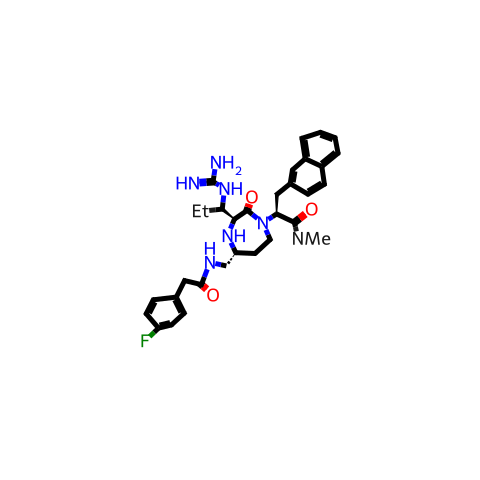 CCC(NC(=N)N)[C@@H]1N[C@@H](CNC(=O)Cc2ccc(F)cc2)CCN([C@@H](Cc2ccc3ccccc3c2)C(=O)NC)C1=O